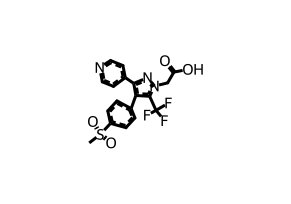 CS(=O)(=O)c1ccc(-c2c(-c3ccncc3)nn(CC(=O)O)c2C(F)(F)F)cc1